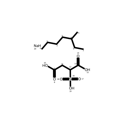 CCCCC(C)CC.O=C(O)CC(C(=O)O)S(=O)(=O)O.[NaH]